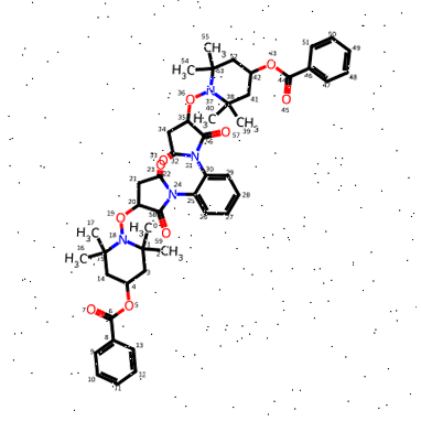 CC1(C)CC(OC(=O)c2ccccc2)CC(C)(C)N1OC1CC(=O)N(c2ccccc2N2C(=O)CC(ON3C(C)(C)CC(OC(=O)c4ccccc4)CC3(C)C)C2=O)C1=O